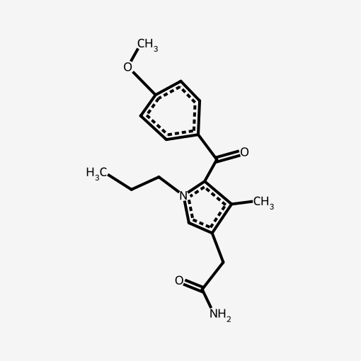 CCCn1cc(CC(N)=O)c(C)c1C(=O)c1ccc(OC)cc1